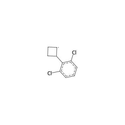 Clc1cccc(Cl)c1C1[CH]CC1